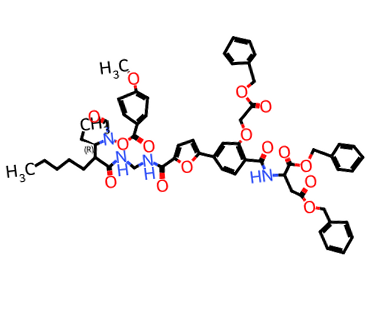 CCCCCC(C(=O)NCNC(=O)c1ccc(-c2ccc(C(=O)NC(CC(=O)OCc3ccccc3)C(=O)OCc3ccccc3)c(OCC(=O)OCc3ccccc3)c2)o1)[C@@H](CC)N(C=O)OC(=O)c1ccc(OC)cc1